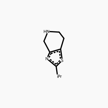 CC(C)c1nc2c(s1)CCNC2